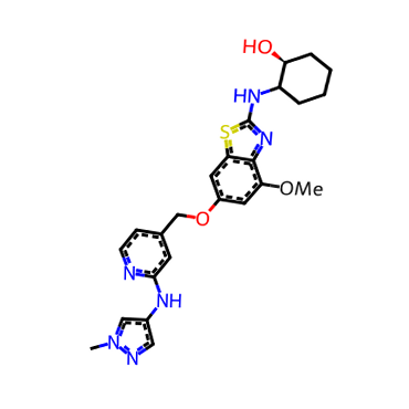 COc1cc(OCc2ccnc(Nc3cnn(C)c3)c2)cc2sc(NC3CCCC[C@@H]3O)nc12